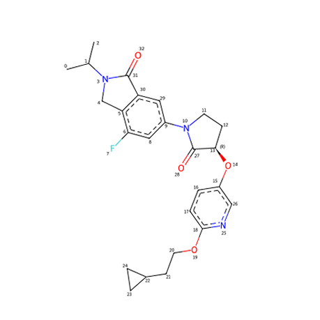 CC(C)N1Cc2c(F)cc(N3CC[C@@H](Oc4ccc(OCCC5CC5)nc4)C3=O)cc2C1=O